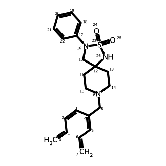 C=C/C=C\C(=C/C=C)CN1CCC2(CC1)CN(c1ccccc1)S(=O)(=O)N2